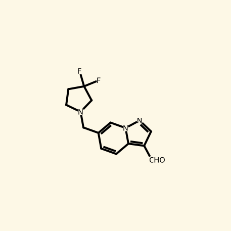 O=Cc1cnn2cc(CN3CCC(F)(F)C3)ccc12